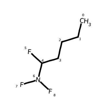 CCCCC(F)N(F)F